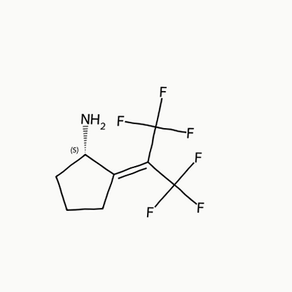 N[C@H]1CCCC1=C(C(F)(F)F)C(F)(F)F